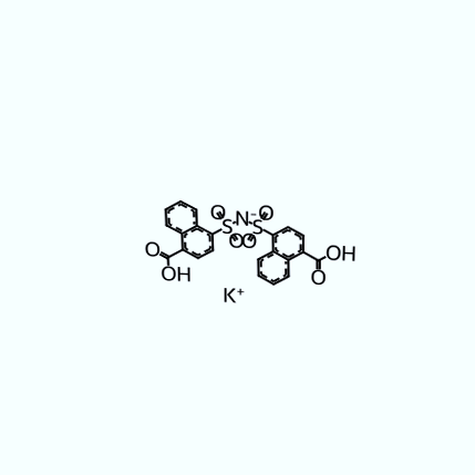 O=C(O)c1ccc(S(=O)(=O)[N-]S(=O)(=O)c2ccc(C(=O)O)c3ccccc23)c2ccccc12.[K+]